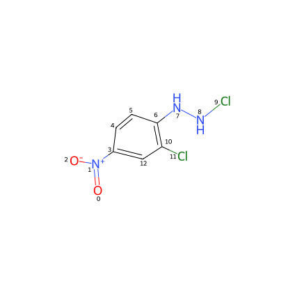 O=[N+]([O-])c1ccc(NNCl)c(Cl)c1